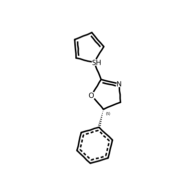 C1=C[SH](C2=NC[C@H](c3ccccc3)O2)C=C1